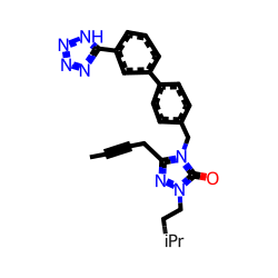 CC#CCc1nn(CCC(C)C)c(=O)n1Cc1ccc(-c2cccc(-c3nnn[nH]3)c2)cc1